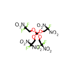 O=[N+]([O-])C(F)(F)COC(OCC(F)(F)[N+](=O)[O-])(OCC(F)([N+](=O)[O-])[N+](=O)[O-])OCC(F)([N+](=O)[O-])[N+](=O)[O-]